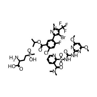 CC(C)OC(=O)c1cc(-c2nn(C)c(C(F)(F)F)c2Br)c(F)cc1Cl.COc1cc(OC)nc(NC(=O)NS(=O)(=O)c2ncccc2C(=O)N(C)C)n1.CP(=O)(O)CCC(N)C(=O)O